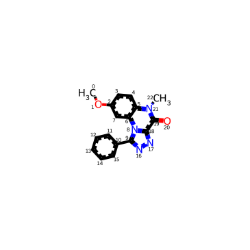 COc1ccc2c(c1)n1c(-c3ccccc3)nnc1c(=O)n2C